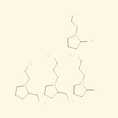 CCCCN1CCCC1C.CCCCN1CCCC1CC.CCCN1CCCC1C.CCCN1CCCC1CC